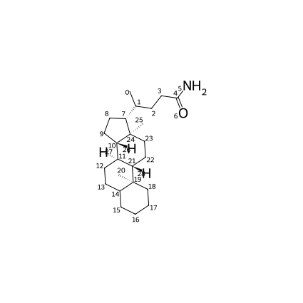 CC(CCC(N)=O)[C@H]1CC[C@H]2[C@@H]3CCC4CCCC[C@]4(C)[C@H]3CC[C@]12C